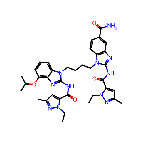 CCn1nc(C)cc1C(=O)Nc1nc2cc(C(N)=O)ccc2n1CCCCn1c(NC(=O)c2cc(C)nn2CC)nc2c(OC(C)C)cccc21